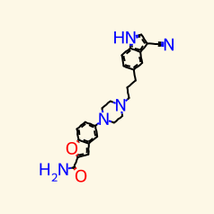 N#Cc1c[nH]c2ccc(CCCN3CCN(c4ccc5oc(C(N)=O)cc5c4)CC3)cc12